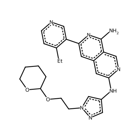 CCc1ccncc1-c1cc2cc(Nc3cnn(CCOC4CCCCO4)c3)ncc2c(N)n1